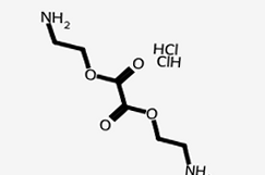 Cl.Cl.NCCOC(=O)C(=O)OCCN